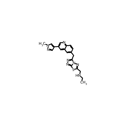 CCNCc1nn2c(Cc3ccc4ncc(-c5cnn(C)c5)cc4c3)nnc2s1